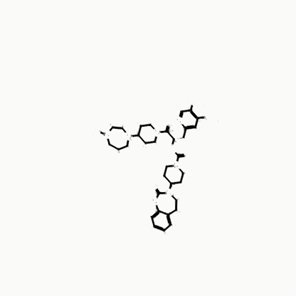 Cc1cnc(C[C@@H](OC(=O)N2CCC(N3CCc4ccccc4NC3=O)CC2)C(=O)N2CCC(N3CCCN(C)CC3)CC2)cc1C